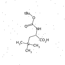 CC(C)(C)OC(=O)NC(C[Si](C)(C)C)C(=O)O